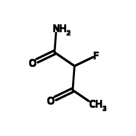 CC(=O)C(F)C(N)=O